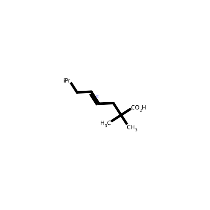 CC(C)C/C=C/CC(C)(C)C(=O)O